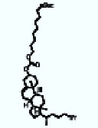 CCCCCCCCCCCCCCCCCCOC(=O)O[C@H]1CC[C@@]2(C)C(=CC[C@H]3[C@@H]4CC[C@H]([C@H](C)CCCC(C)C)[C@@]4(C)CC[C@@H]32)C1